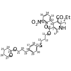 CCOC(=O)C1=C(C)NC(C)=C(C(=O)OCCCSc2ccc(CCCOC3CCCCO3)cc2)C1c1cccc([N+](=O)[O-])c1